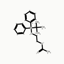 CC(=O)OCCO[Si](c1ccccc1)(c1ccccc1)C(C)(C)C